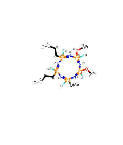 CCCOP1(F)=NP(F)(OC)=NP(F)(CCC=O)=NP(F)(CCC=O)=NP(F)(OCCC)=N1